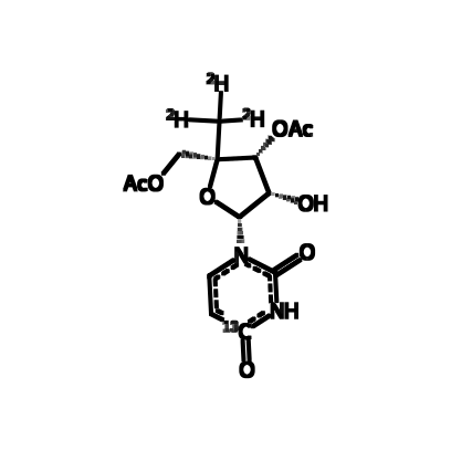 [2H]C([2H])([2H])[C@]1(COC(C)=O)O[C@@H](n2cc[13c](=O)[nH]c2=O)[C@@H](O)[C@H]1OC(C)=O